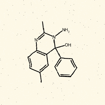 CC1=Nc2ccc(C)cc2C(O)(c2ccccc2)N1N